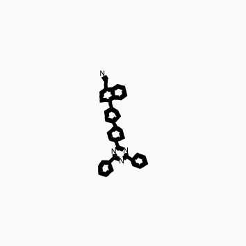 N#Cc1ccc(-c2ccc(-c3ccc(-c4nc(-c5ccccc5)nc(-c5ccccc5)n4)cc3)cc2)c2ccccc12